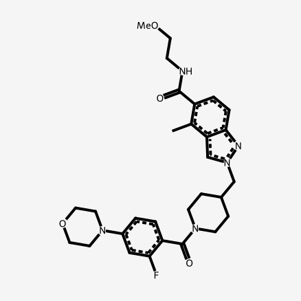 COCCNC(=O)c1ccc2nn(CC3CCN(C(=O)c4ccc(N5CCOCC5)cc4F)CC3)cc2c1C